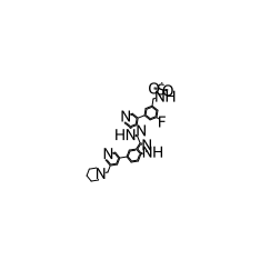 CS(=O)(=O)NCc1cc(F)cc(-c2cncc3[nH]c(-c4n[nH]c5ccc(-c6cncc(CN7CCCCC7)c6)cc45)nc23)c1